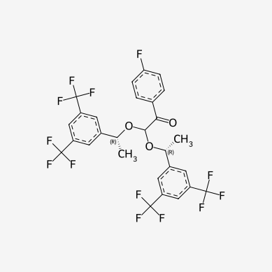 C[C@@H](OC(O[C@H](C)c1cc(C(F)(F)F)cc(C(F)(F)F)c1)C(=O)c1ccc(F)cc1)c1cc(C(F)(F)F)cc(C(F)(F)F)c1